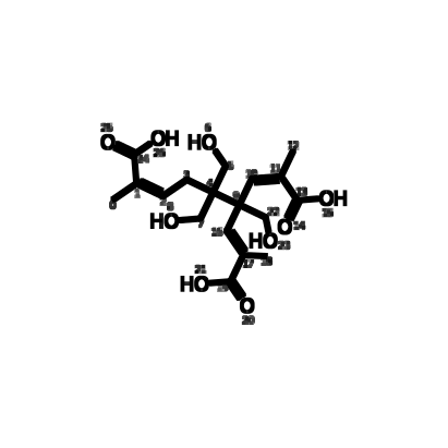 CC(=CCC(CO)(CO)C(C=C(C)C(=O)O)(C=C(C)C(=O)O)CO)C(=O)O